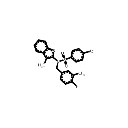 CC(=O)c1ccc(S(=O)(=O)N(Cc2ccc(F)c(C(F)(F)F)c2)c2sc3ccccc3c2C)cc1